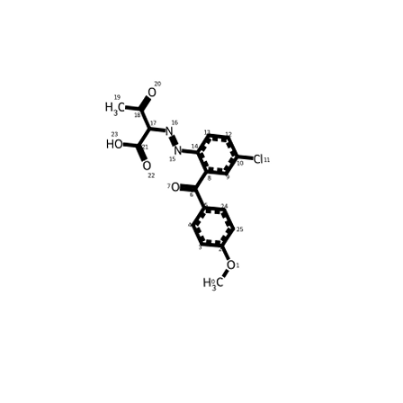 COc1ccc(C(=O)c2cc(Cl)ccc2N=NC(C(C)=O)C(=O)O)cc1